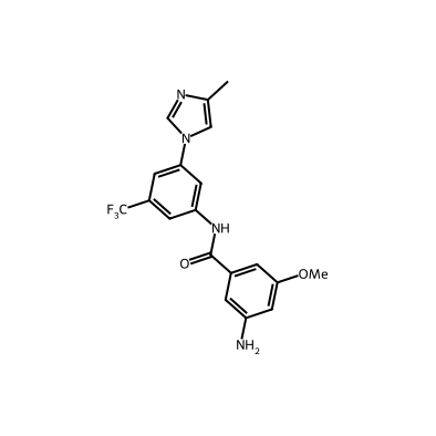 COc1cc(N)cc(C(=O)Nc2cc(-n3cnc(C)c3)cc(C(F)(F)F)c2)c1